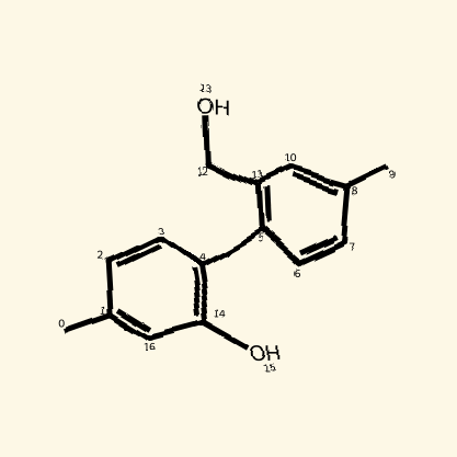 Cc1ccc(-c2ccc(C)cc2CO)c(O)c1